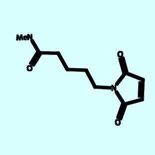 CNC(=O)CCCCN1C(=O)C=CC1=O